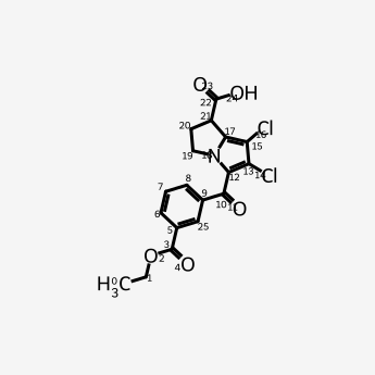 CCOC(=O)c1cccc(C(=O)c2c(Cl)c(Cl)c3n2CCC3C(=O)O)c1